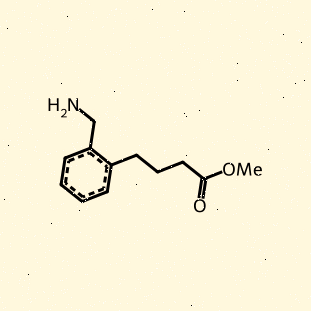 COC(=O)CCCc1ccccc1CN